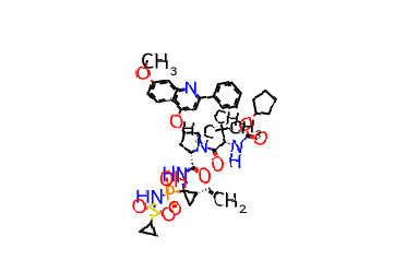 C=C[C@@H]1C[C@]1(NC(=O)[C@@H]1C[C@@H](Oc2cc(-c3ccccc3)nc3cc(OC)ccc23)CN1C(=O)[C@@H](NC(=O)OC1CCCC1)C(C)(C)C)P(=O)(O)NS(=O)(=O)C1CC1